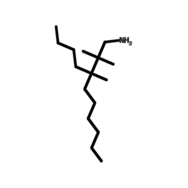 CCCCCCC(C)(CCCC)C(C)(C)CN